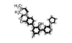 CN(C)/C=C\N(C=O)c1ccc(-c2cc(F)cc(-c3ccnc(N4CCCC4)c3)c2O)cc1Cl